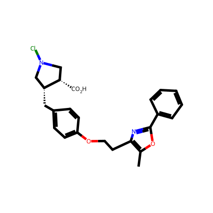 Cc1oc(-c2ccccc2)nc1CCOc1ccc(C[C@@H]2CN(Cl)C[C@@H]2C(=O)O)cc1